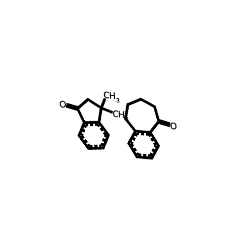 CC1(C)CC(=O)c2ccccc21.O=C1CCCCc2ccccc21